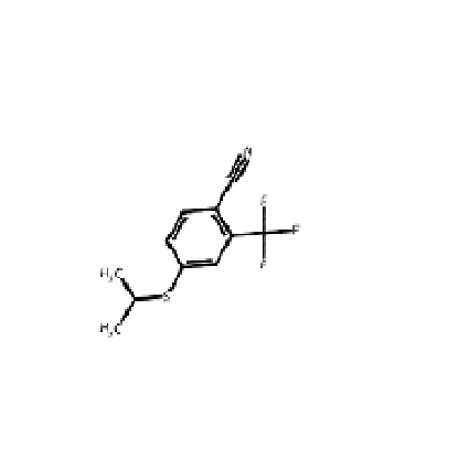 CC(C)Sc1ccc(C#N)c(C(F)(F)F)c1